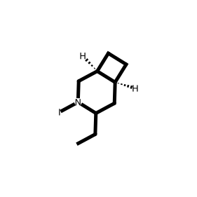 CCC1C[C@@H]2CC[C@@H]2CN1I